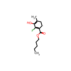 CCCCCOC(=O)C1=C(F)C(O)=C(C)C[CH]1